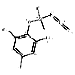 Cc1cc(C(C)(C)C)c(O[Si](C)(C)N=C=S)c(C(C)(C)C)c1